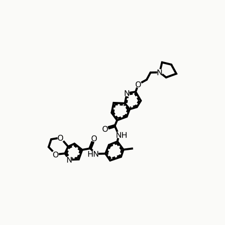 Cc1ccc(NC(=O)c2cnc3c(c2)OCCO3)cc1NC(=O)c1ccc2nc(OCCN3CCCC3)ccc2c1